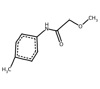 CO[CH]C(=O)Nc1ccc(C)cc1